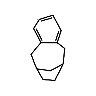 [c]1ccc2c(c1)CC1CCC(C2)C1